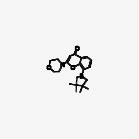 CC1(C)CB(c2cccc3c(=O)cc(N4CCOCC4)oc23)CC1(C)C